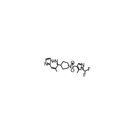 Cc1cc2nccn2nc1C1CCN(S(=O)(=O)c2cnn(C(F)F)c2C)CC1